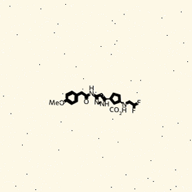 COc1ccc(CC(=O)Nc2cc([C@H]3CC[C@@H](N(CC(F)F)C(=O)O)C3)[nH]n2)cc1